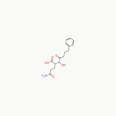 NC(=O)CCC(C(=O)O)N(O)C(=O)CCCc1ccccc1